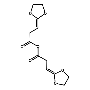 O=C(CC=C1OCCO1)OC(=O)CC=C1OCCO1